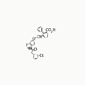 CCc1cccc(CC(=O)Nc2ccc(OC3CN(c4cccc(C(=O)O)c4-c4ccccc4)C3)cc2F)c1